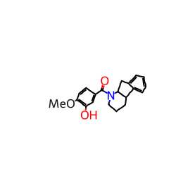 COc1ccc(C(=O)N2CCCC3c4ccccc4CC32)cc1O